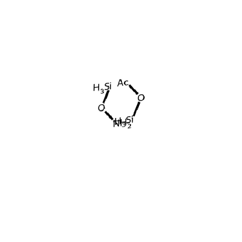 CC(=O)O[SiH3].NO[SiH3]